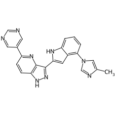 Cc1cn(-c2cccc3[nH]c(-c4n[nH]c5ccc(-c6cncnc6)nc45)cc23)cn1